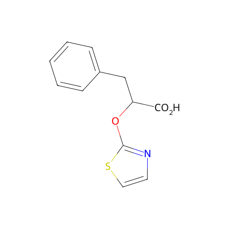 O=C(O)C(Cc1ccccc1)Oc1nccs1